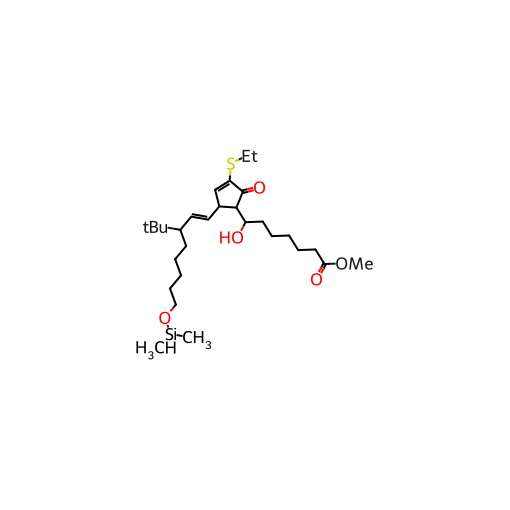 CCSC1=CC(C=CC(CCCCCO[SiH](C)C)C(C)(C)C)C(C(O)CCCCCC(=O)OC)C1=O